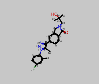 Cc1cc(F)ccc1-n1nnc(-c2ccc3c(c2)CN(CC(C)(C)O)C3=O)c1C